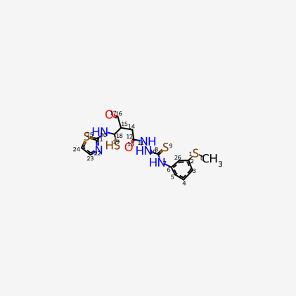 CSc1cccc(NC(=S)NNC(=O)CC(C=O)C(S)Nc2nccs2)c1